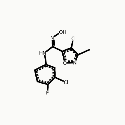 Cc1noc(/C(=N\O)Nc2ccc(F)c(Cl)c2)c1Cl